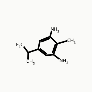 Cc1c(N)cc(C(C)C(F)(F)F)cc1N